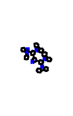 c1ccc(-n2c(-c3cc(-c4cncc(-c5cc(-n6c7ccccc7c7ccccc76)cc(-n6c7ccccc7c7ccccc76)c5)c4)cc(-n4c5ccccc5c5ccccc54)c3)nc3ccccc32)cc1